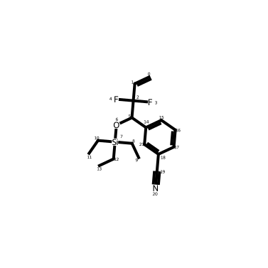 C=CC(F)(F)C(O[Si](CC)(CC)CC)c1cccc(C#N)c1